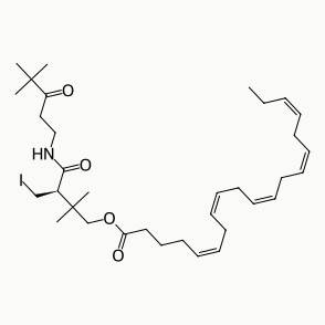 CC/C=C\C/C=C\C/C=C\C/C=C\C/C=C\CCCC(=O)OCC(C)(C)[C@@H](CI)C(=O)NCCC(=O)C(C)(C)C